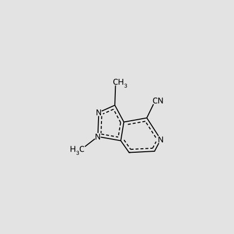 Cc1nn(C)c2ccnc(C#N)c12